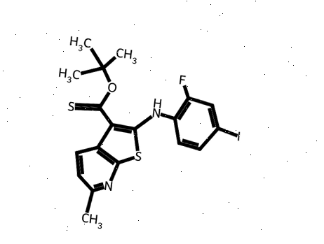 Cc1ccc2c(C(=S)OC(C)(C)C)c(Nc3ccc(I)cc3F)sc2n1